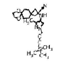 Cc1nn(COCC[Si](C)(C)C)cc1NC1(C#N)CC2(CCC3(CC2)OCCO3)C1